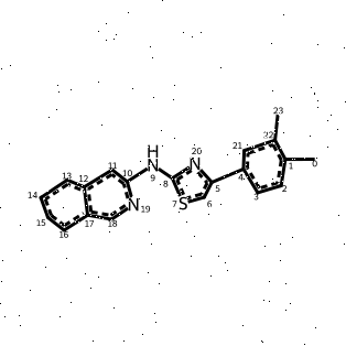 Cc1ccc(-c2csc(Nc3cc4ccccc4cn3)n2)cc1C